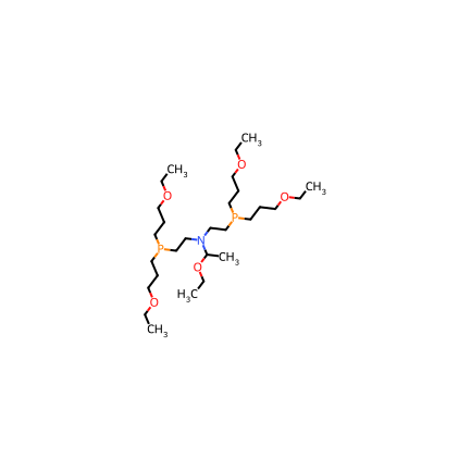 CCOCCCP(CCCOCC)CCN(CCP(CCCOCC)CCCOCC)C(C)OCC